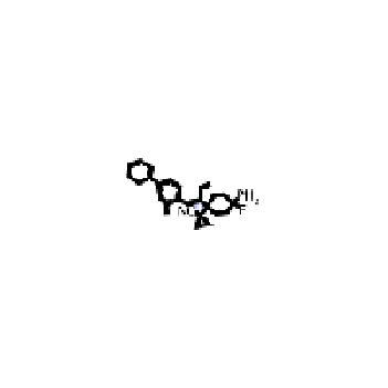 C=C/C(=C\c1ccc(C2=CC=CCC2)cc1C)C1(C2(C#N)CC2)CCC(F)(P)CC1